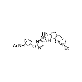 CCN1CCN(Cc2ccc(Nc3nc4nc(Oc5ccnc(NC(C)=O)c5)ncc4[nH]3)cc2C(F)(F)F)CC1